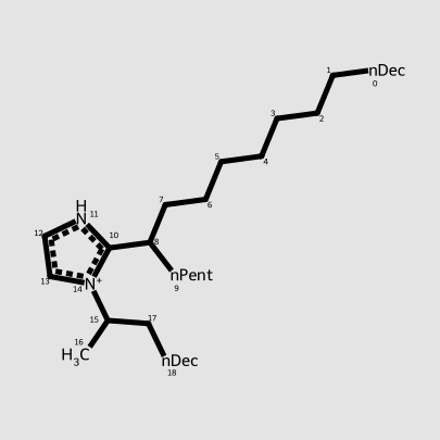 CCCCCCCCCCCCCCCCCC(CCCCC)c1[nH]cc[n+]1C(C)CCCCCCCCCCC